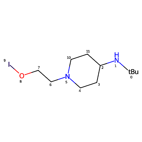 CC(C)(C)NC1CCN(CCOI)CC1